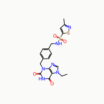 CCn1cnc2c1c(=O)[nH]c(=O)n2Cc1ccc(CNS(=O)(=O)c2cc(C)ns2)cc1